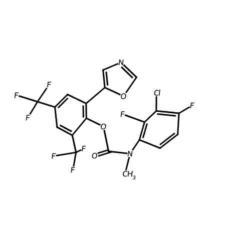 CN(C(=O)Oc1c(-c2cnco2)cc(C(F)(F)F)cc1C(F)(F)F)c1ccc(F)c(Cl)c1F